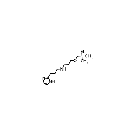 CCC(C)(C)COCCCNCCCc1ncc[nH]1